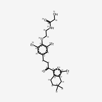 CCc1cc(CCC(=O)c2sc(CC)c3c2CCC(C)(C)C3)cc(CC)c1OCCNC(=O)CO